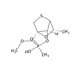 COC[C@@]12CSC([C@H](C)O1)[C@H]2OP(C)(=O)O